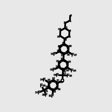 CCCC1CCC(c2cc(F)c(-c3cc(F)c(C(F)(F)Oc4cc(F)c(C(F)(F)F)c(F)c4)c(F)c3)c(F)c2)CC1